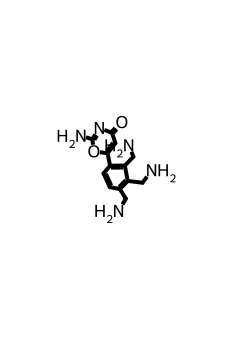 NCc1ccc(-c2cc(=O)nc(N)o2)c(CN)c1CN